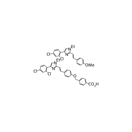 CCn1cc(-c2ccc(Cl)cc2Cl)nc1C=Cc1ccc(OC)cc1.CCn1cc(-c2ccc(Cl)cc2Cl)nc1C=Cc1ccc(OCc2ccc(C(=O)O)cc2)cc1